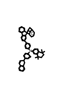 CC1(C)CCC(C)(C)c2cc(N(c3ccc(-c4ccc5c(c4)C4(c6ccccc6-5)C5CC6CC7CC4C75C6)cc3)c3ccc(C4C=Cc5ccccc5C4)cc3)ccc21